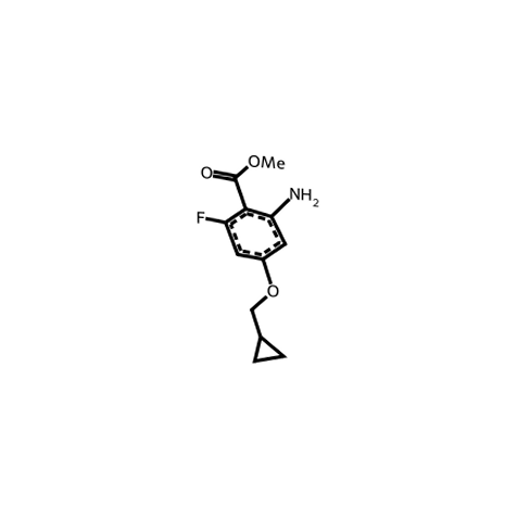 COC(=O)c1c(N)cc(OCC2CC2)cc1F